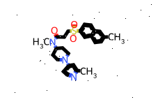 Cc1ccc2cc(S(=O)(=O)CCC(=O)N(C)C3CCN(c4ccnc(C)c4)CC3)ccc2c1